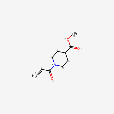 C=CC(=O)N1CCC(C(=O)OCCC)CC1